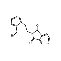 O=C1c2ccccc2C(=O)N1CCc1ccccc1CBr